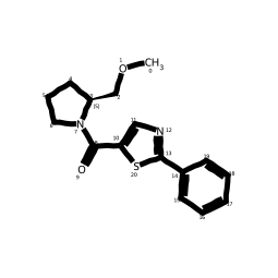 COC[C@@H]1CCCN1C(=O)c1cnc(-c2ccccc2)s1